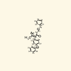 CC(=O)N(C)N(C(=O)CCOCc1ccccc1)c1ccc(Oc2ccccc2)cc1